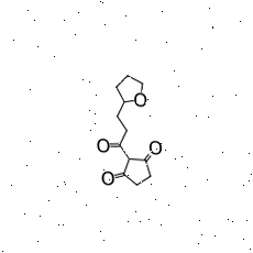 O=C1CCC(=O)C1C(=O)CCC1CCCO1